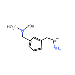 C[C@H](N)Cc1cccc(CN(C(=O)O)C(C)(C)C)c1